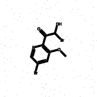 COc1cc(Br)cnc1C(=O)C(O)Br